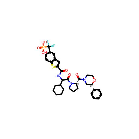 O=C(NC(C(=O)N1CCC[C@H]1C(=O)N1CCO[C@H](c2ccccc2)C1)C1CCCCC1)c1cc2cc(C(F)(F)P(=O)(O)O)ccc2s1